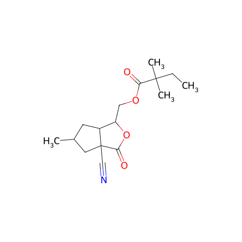 CCC(C)(C)C(=O)OCC1OC(=O)C2(C#N)CC(C)CC12